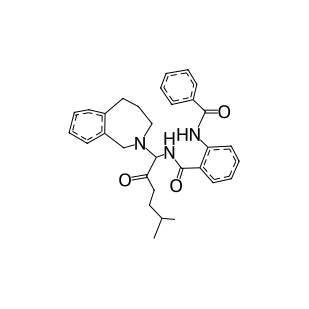 CC(C)CCC(=O)C(NC(=O)c1ccccc1NC(=O)c1ccccc1)N1CCCc2ccccc2C1